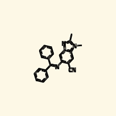 Cc1nc2cc(N=C(c3ccccc3)c3ccccc3)c(C#N)cc2n1C